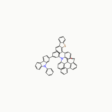 c1ccc(-c2cccc3cccc(-c4ccccc4N(c4cccc(-c5ccc6c7ccccc7n(-c7ccccc7)c6c5)c4)c4ccccc4-c4cccc5c4sc4ccccc45)c23)cc1